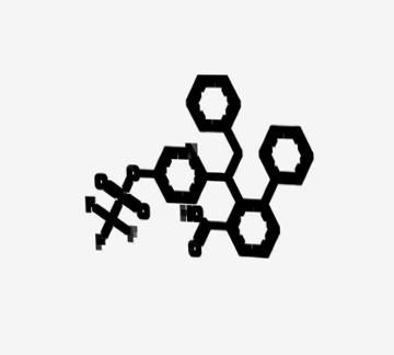 O=C(O)c1cccc(-c2ccccc2)c1C(Cc1ccccc1)c1ccc(OS(=O)(=O)C(F)(F)F)cn1